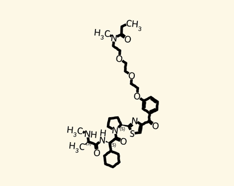 CCC(=O)N(C)CCOCCOCCOc1cccc(C(=O)c2csc([C@@H]3CCCN3C(=O)[C@@H](NC(=O)[C@H](C)NC)C3CCCCC3)n2)c1